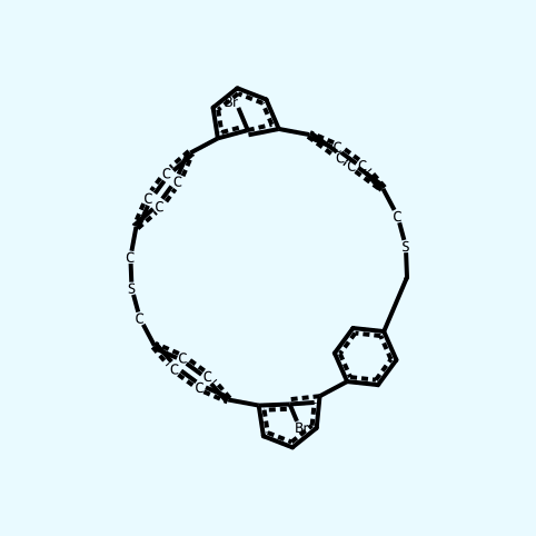 Brc1c2cccc1-c1ccc(cc1)CSCc1ccc(cc1)-c1cccc(c1Br)-c1ccc(cc1)CSCc1ccc-2cc1